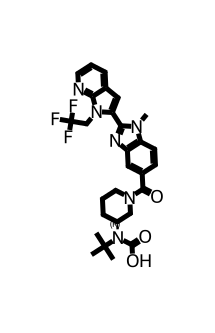 Cn1c(-c2cc3cccnc3n2CC(F)(F)F)nc2cc(C(=O)N3CCC[C@@H](N(C(=O)O)C(C)(C)C)C3)ccc21